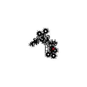 CON=C(C(=O)NC1C(=O)N2C(C(=O)OC(c3ccccc3)c3ccccc3)=C(C=CSc3nnc(CN(C)C)s3)CSC12)C1=CSN(NC(c2ccccc2)(c2ccccc2)c2ccccc2)N1